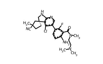 CN(C)CCN(C)C(=O)c1c(N)ccc(-c2cnc3c(c2Cl)[C@]2(CC[C@@](C)(C#N)C2)CN3)c1F